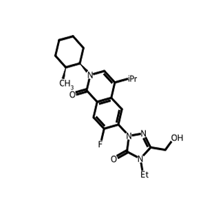 CCn1c(CO)nn(-c2cc3c(C(C)C)cn([C@@H]4CCCC[C@@H]4C)c(=O)c3cc2F)c1=O